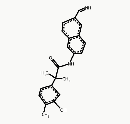 Cc1ccc(C(C)(C)C(=O)Nc2ccc3cc(C=N)ccc3c2)cc1O